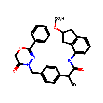 CC(C)C(C(=O)Nc1cccc2c1CC(OC(=O)O)C2)c1ccc(CN2N=C(c3ccccc3)OCC2=O)cc1